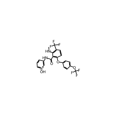 CNc1c(C(F)(F)F)ccc(Oc2ccc(OC(F)(F)F)cc2)c1C(=O)Nc1ccc[n+](O)c1